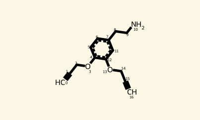 C#CCOc1ccc(CCN)cc1OCC#C